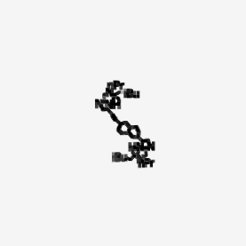 CCCN(Cc1ncc(C#Cc2ccc3cc(-c4cnc(CN(CCC)C(=O)CC(C)CC)[nH]4)ccc3c2)[nH]1)C(=O)C[C@@H](C)CC